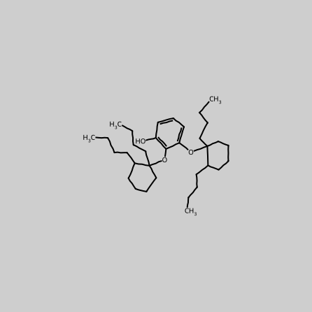 CCCCC1CCCCC1(CCCC)Oc1cccc(O)c1OC1(CCCC)CCCCC1CCCC